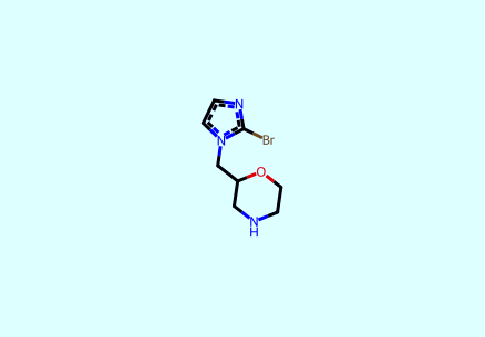 Brc1nccn1CC1CNCCO1